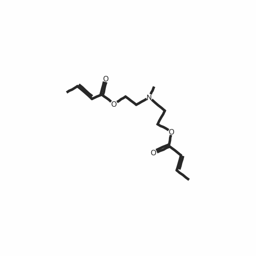 CC=CC(=O)OCCN(C)CCOC(=O)C=CC